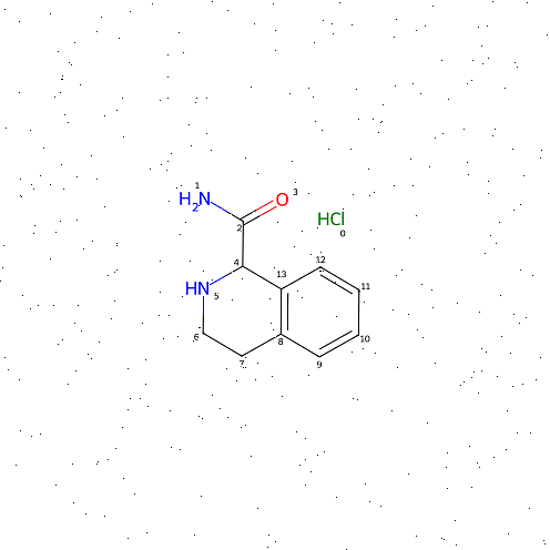 Cl.NC(=O)C1NCCc2ccc[c]c21